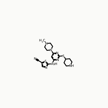 CN1CCN(c2cc([AsH]c3ncc(C#N)s3)nc(SC3CCNCC3)n2)CC1